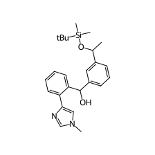 CC(O[Si](C)(C)C(C)(C)C)c1cccc(C(O)c2ccccc2-c2cn(C)cn2)c1